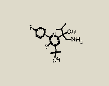 CC(C)[C@](O)(CN)c1cc(C(C)(C)O)c(F)c(-c2ccc(F)cc2)n1